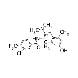 Cc1cc(O)cc(C)c1C[C@@H](CNC(=O)c1ccc(C(F)(F)F)c(Cl)c1)N(C)C